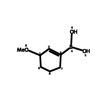 COC1C=C(B(O)O)CCC1